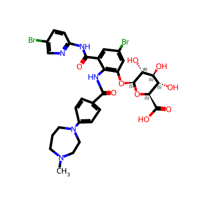 CN1CCCN(c2ccc(C(=O)Nc3c(O[C@@H]4O[C@H](C(=O)O)[C@@H](O)[C@H](O)[C@H]4O)cc(Br)cc3C(=O)Nc3ccc(Br)cn3)cc2)CC1